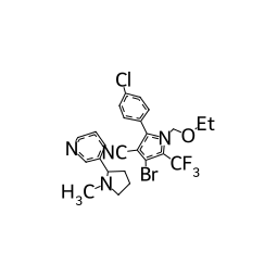 CCOCn1c(-c2ccc(Cl)cc2)c(C#N)c(Br)c1C(F)(F)F.CN1CCCC1c1cccnc1